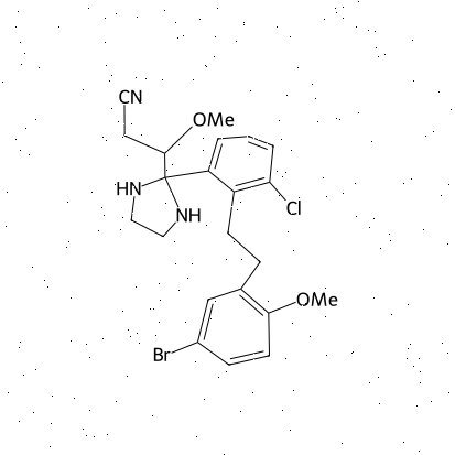 COc1ccc(Br)cc1CCc1c(Cl)cccc1C1(C(CC#N)OC)NCCN1